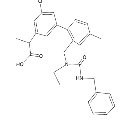 CCN(Cc1cc(C)ccc1-c1cc(Cl)cc(C(C)C(=O)O)c1)C(=O)NCc1ccccc1